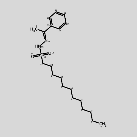 CCCCCCCCCCCCS(=O)(=O)NN=C(C)c1ccccc1